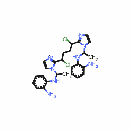 CC(Nc1ccccc1N)N1C=C[N+]=C1C(Cl)CCC(Cl)C1=[N+]C=CN1C(C)Nc1ccccc1N